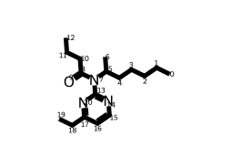 CCCCCC(C)N(C(=O)CCC)c1nccc(CC)n1